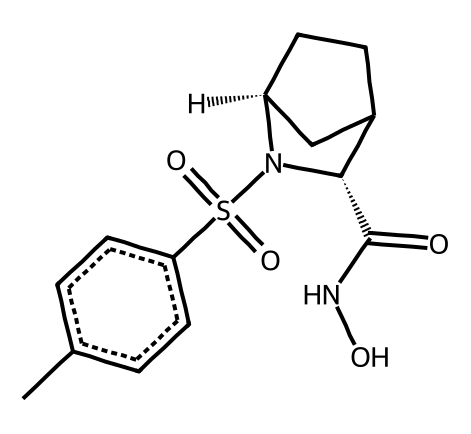 Cc1ccc(S(=O)(=O)N2[C@H]3CCC(C3)[C@@H]2C(=O)NO)cc1